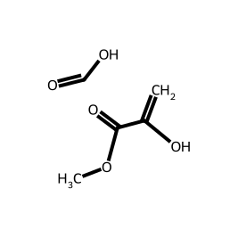 C=C(O)C(=O)OC.O=CO